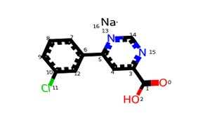 O=C(O)c1cc(-c2cccc(Cl)c2)ncn1.[Na]